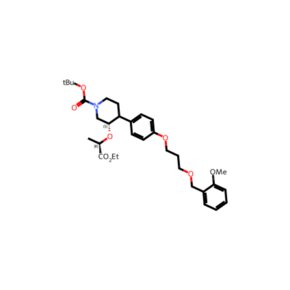 CCOC(=O)[C@@H](C)O[C@@H]1CN(C(=O)OC(C)(C)C)CCC1c1ccc(OCCCOCc2ccccc2OC)cc1